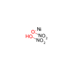 O=[N+]([O-])O.O=[N+]([O-])[O-].[Ni]